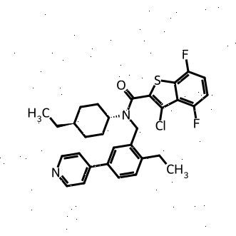 CCc1ccc(-c2ccncc2)cc1CN(C(=O)c1sc2c(F)ccc(F)c2c1Cl)[C@H]1CC[C@H](CC)CC1